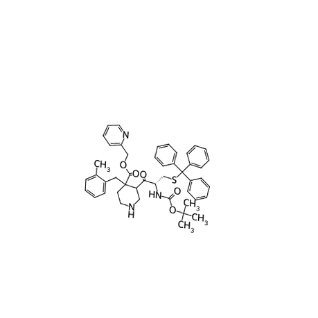 Cc1ccccc1CC1(C(=O)OCc2ccccn2)CCNCC1C(=O)[C@H](CSC(c1ccccc1)(c1ccccc1)c1ccccc1)NC(=O)OC(C)(C)C